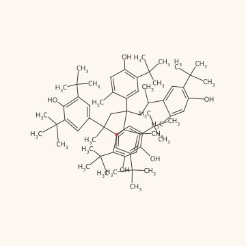 Cc1cc(O)c(C(C)(C)C)cc1C(C)CC(CC(C)(c1cc(C(C)(C)C)c(O)c(C(C)(C)C)c1)c1cc(C(C)(C)C)c(O)c(C(C)(C)C)c1)(c1cc(C(C)(C)C)c(O)cc1C)c1cc(C(C)(C)C)c(O)cc1C